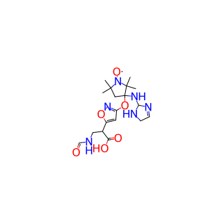 CC1(C)CC(NC2N=CCN2)(Oc2cc(C(CNC=O)C(=O)O)on2)C(C)(C)N1[O]